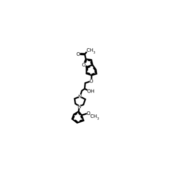 COc1ccccc1N1CCN(CC(O)COc2ccc3cc(C(C)=O)oc3c2)CC1